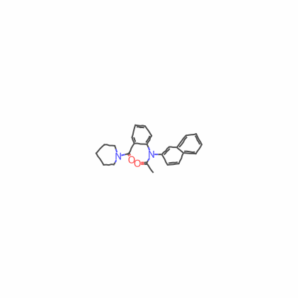 CC(=O)N(c1ccc2ccccc2c1)c1ccccc1C(=O)N1CCCCC1